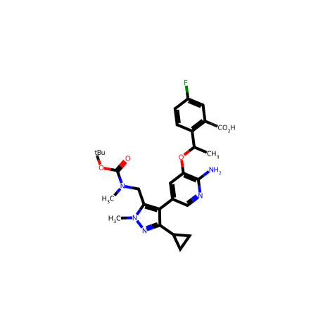 CC(Oc1cc(-c2c(C3CC3)nn(C)c2CN(C)C(=O)OC(C)(C)C)cnc1N)c1ccc(F)cc1C(=O)O